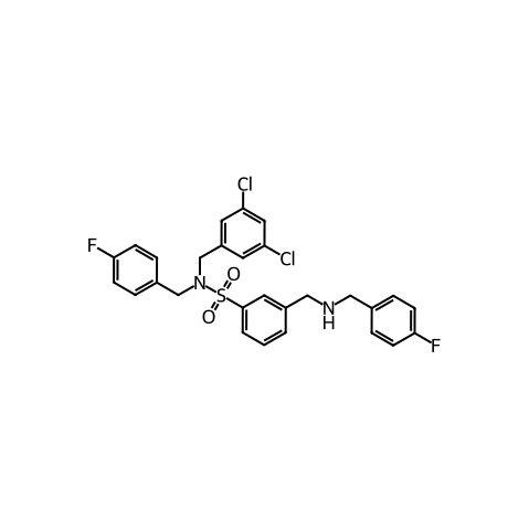 O=S(=O)(c1cccc(CNCc2ccc(F)cc2)c1)N(Cc1ccc(F)cc1)Cc1cc(Cl)cc(Cl)c1